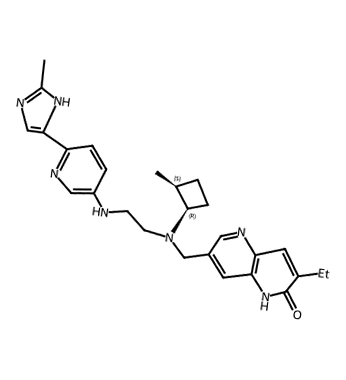 CCc1cc2ncc(CN(CCNc3ccc(-c4cnc(C)[nH]4)nc3)[C@@H]3CC[C@@H]3C)cc2[nH]c1=O